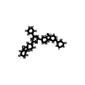 c1ccc(-c2ccc3sc4cc(-c5nc(-c6ccccc6)nc(-c6ccc7c(c6)oc6ccccc67)n5)ccc4c3c2)cc1